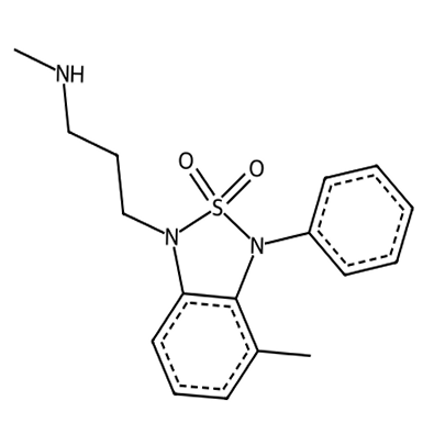 CNCCCN1c2cccc(C)c2N(c2ccccc2)S1(=O)=O